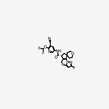 N#Cc1cc(NC(=O)[C@@H]2CC3(CCOCC3)c3c2cnc2cc(F)nn32)cnc1OC(F)F